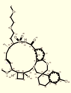 COCCOCC[C@@H]1[C@@H](C)C/C=C/[C@H](OC)[C@@H]2CC[C@H]2CN2C[C@@]3(CCCc4cc(Cl)ccc43)COc3ccc(cc32)C(=O)NS1(=O)=O